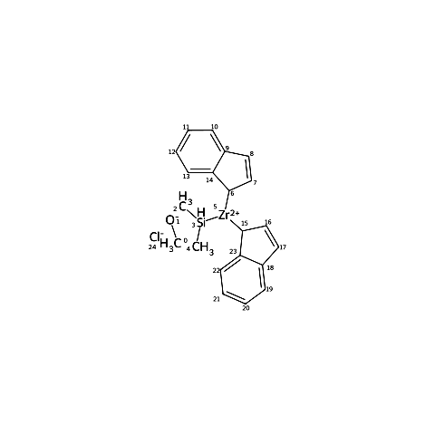 C[O-].C[SiH](C)[Zr+2]([CH]1C=Cc2ccccc21)[CH]1C=Cc2ccccc21.[Cl-]